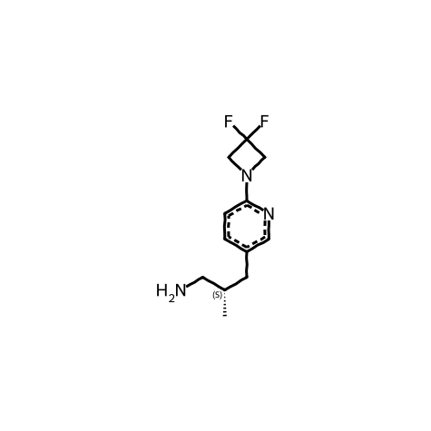 C[C@H](CN)Cc1ccc(N2CC(F)(F)C2)nc1